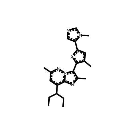 CCC(CC)c1cc(C)nn2c(-c3sc(-c4cncn4C)cc3C)c(C)nc12